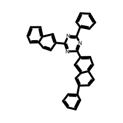 c1ccc(-c2ccc3ccc(-c4nc(-c5ccccc5)nc(-c5ccc6ccccc6c5)n4)cc3c2)cc1